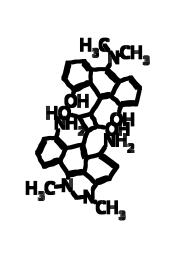 CN(C)c1c2cccc(O)c2c(C2C(O)C(c3c4c(N)cccc4c4c5c(ccc(N)c35)N(C)CN4C)C2O)c2c(O)cccc12